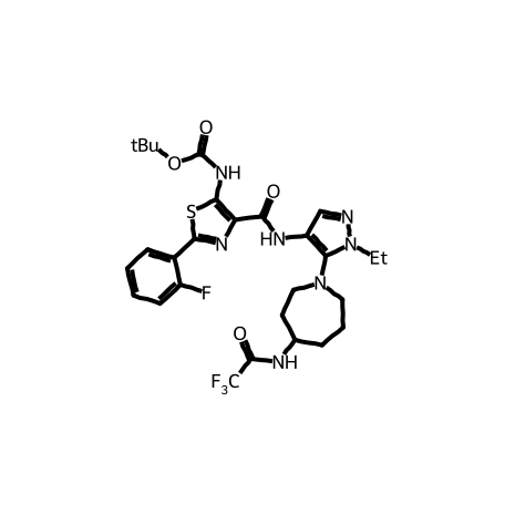 CCn1ncc(NC(=O)c2nc(-c3ccccc3F)sc2NC(=O)OC(C)(C)C)c1N1CCCC(NC(=O)C(F)(F)F)CC1